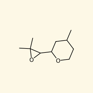 CC1CCOC(C2OC2(C)C)C1